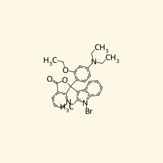 CCOc1cc(N(CC)CC)ccc1C1(c2c(C)n(Br)c3ccccc23)OC(=O)c2cccnc21